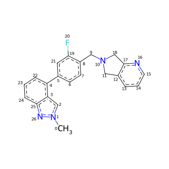 Cn1cc2c(-c3ccc(CN4Cc5cccnc5C4)c(F)c3)cccc2n1